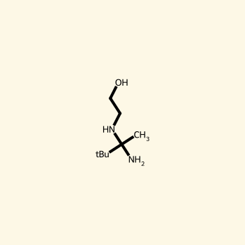 CC(C)(C)C(C)(N)NCCO